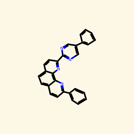 c1ccc(-c2cnc(-c3ccc4ccc5ccc(-c6ccccc6)nc5c4n3)nc2)cc1